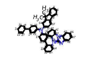 CC1(C)c2ccccc2-c2ccc(N(c3ccc(-c4ccccc4)cc3)c3ccc(-c4ccccc4-n4c5ccccc5n5c6ccccc6nc45)cc3)cc21